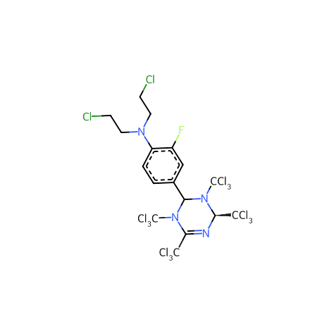 Fc1cc(C2N(C(Cl)(Cl)Cl)C(C(Cl)(Cl)Cl)=N[C@H](C(Cl)(Cl)Cl)N2C(Cl)(Cl)Cl)ccc1N(CCCl)CCCl